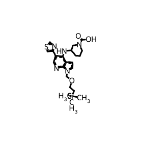 C[Si](C)(C)CCOCn1ccc2c(NC3CCCN(C(=O)O)C3)c(-c3cscn3)cnc21